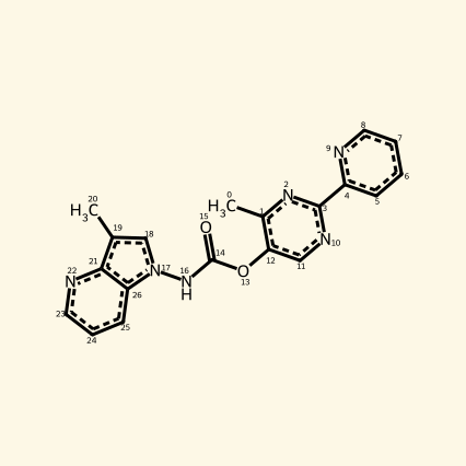 Cc1nc(-c2ccccn2)ncc1OC(=O)Nn1cc(C)c2ncccc21